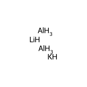 [AlH3].[AlH3].[KH].[LiH]